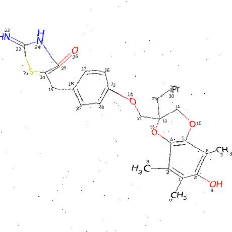 Cc1c(C)c2c(c(C)c1O)OCC(COc1ccc(CC3SC(=N)NC3=O)cc1)(CC(C)C)O2